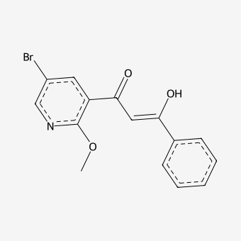 COc1ncc(Br)cc1C(=O)C=C(O)c1ccccc1